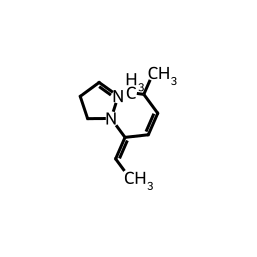 C/C=C(\C=C/C(C)C)N1CCC=N1